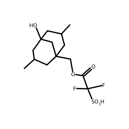 CC1CC2(O)CC(C)CC(COC(=O)C(F)(F)S(=O)(=O)O)(C1)C2